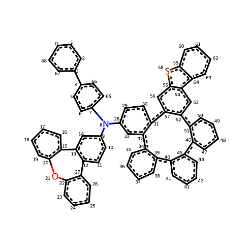 c1ccc(-c2ccc(N(c3ccc4c(c3)-c3ccccc3Oc3ccccc3-4)c3ccc4c(c3)c3ccccc3c3ccccc3c3ccccc3c3cc5c(cc43)sc3ccccc35)cc2)cc1